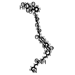 O=C(/C=C/c1cccnc1)NCCCCC1CCN(C(=O)c2ccc(N3CCN(C(=O)CCOCCOCCOCCSc4cccc5c4C(=O)N(C4CCC(=O)NC4=O)C5=O)CC3)nn2)CC1